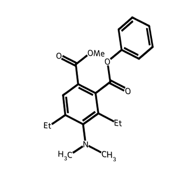 CCc1cc(C(=O)OC)c(C(=O)Oc2ccccc2)c(CC)c1N(C)C